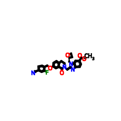 COC(=O)c1ccc2nc(CN3CCc4ccc(OCc5ccc(C#N)cc5F)cc4C3=O)n(C[C@@H]3CCO3)c2c1